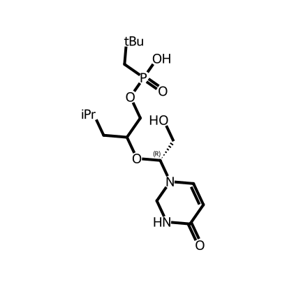 CC(C)CC(COP(=O)(O)CC(C)(C)C)O[C@H](CO)N1C=CC(=O)NC1